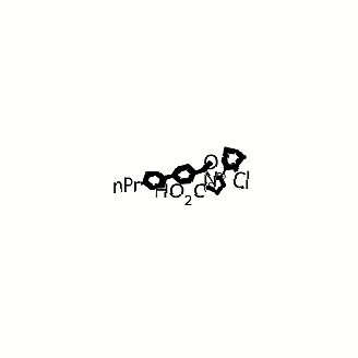 CCCc1ccc(-c2ccc(C(=O)N3[C@@H](c4ccccc4Cl)CC[C@H]3C(=O)O)cc2)cc1